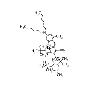 CCCCCCN(CCCCCC)c1cc(C)c(N=C2C(C#N)=C(C(=O)OC3C(C(C)(C)C)CC(C)CC3C(C)(C)C)c3nc(C(C)(C)C)nn32)c(C)c1